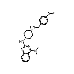 CN(C)c1nc(N[C@H]2CC[C@@H](NCc3ccc(SF)cc3)CC2)nc2ccccc12